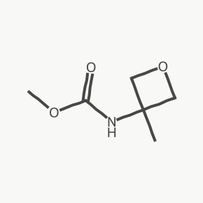 COC(=O)NC1(C)COC1